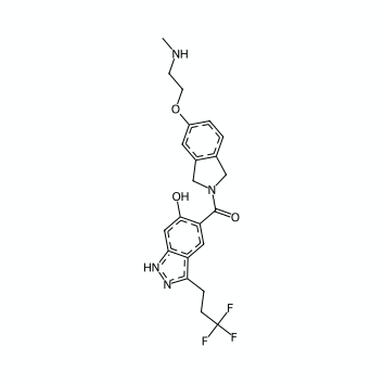 CNCCOc1ccc2c(c1)CN(C(=O)c1cc3c(CCC(F)(F)F)n[nH]c3cc1O)C2